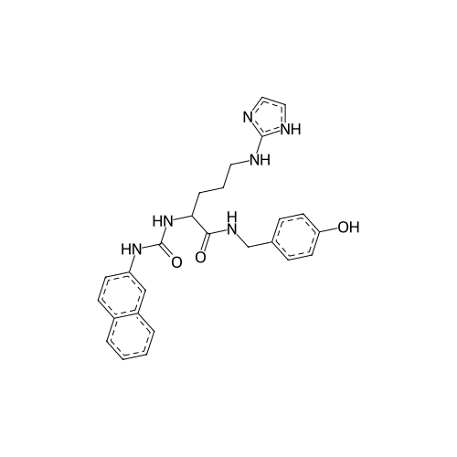 O=C(Nc1ccc2ccccc2c1)NC(CCCNc1ncc[nH]1)C(=O)NCc1ccc(O)cc1